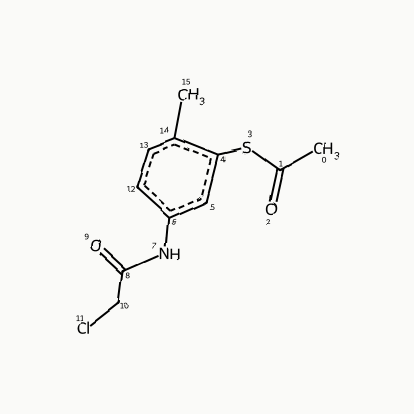 CC(=O)Sc1cc(NC(=O)CCl)ccc1C